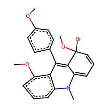 COc1ccc(C2=C3C(=CC=CC3(Br)OC)N(C)c3cccc(OC)c32)cc1